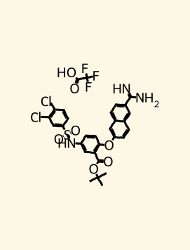 CC(C)(C)OC(=O)c1cc(NS(=O)(=O)c2ccc(Cl)c(Cl)c2)ccc1Oc1ccc2cc(C(=N)N)ccc2c1.O=C(O)C(F)(F)F